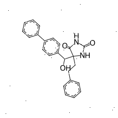 O=C1NC(=O)C(CCc2ccccc2)(C(O)c2ccc(-c3ccccc3)cc2)N1